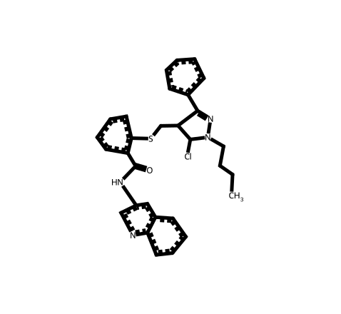 CCCCN1N=C(c2ccccc2)C(CSc2ccccc2C(=O)Nc2cnc3ccccc3c2)C1Cl